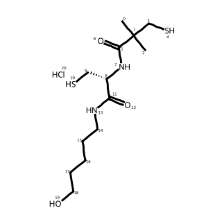 CC(C)(CS)C(=O)N[C@@H](CS)C(=O)NCCCCCO.Cl